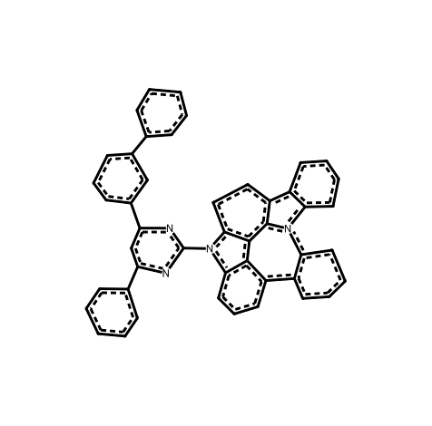 c1ccc(-c2cccc(-c3cc(-c4ccccc4)nc(-n4c5cccc6c7ccccc7n7c8ccccc8c8ccc4c(c65)c87)n3)c2)cc1